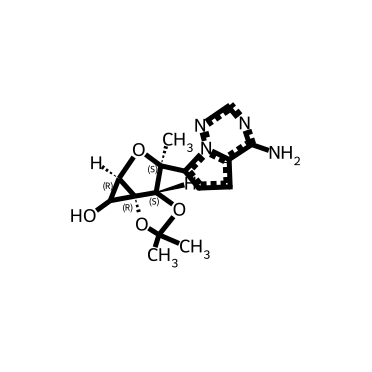 CC1(C)O[C@@H]2[C@@]3(O1)C(O)[C@H]3O[C@@]2(C)c1ccc2c(N)ncnn12